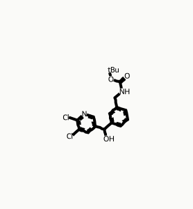 CC(C)(C)OC(=O)NCc1cccc(C(O)c2cnc(Cl)c(Cl)c2)c1